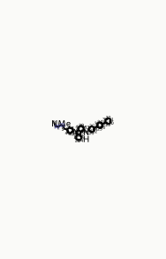 CN/C=C\C=C/Cc1ccc(N2C3CC=CC=C3C3=C(NC4=CC=C(c5ccc(-c6ccccc6)cc5)CC4)C=CCC32)cc1